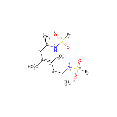 CCS(=O)(=O)N[C@H](C)C/C(C(=O)O)=C(/C[C@@H](C)NS(=O)(=O)CC)C(=O)O